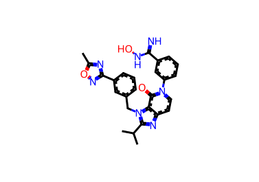 Cc1nc(-c2cccc(Cn3c(C(C)C)nc4ccn(-c5cccc(C(=N)NO)c5)c(=O)c43)c2)no1